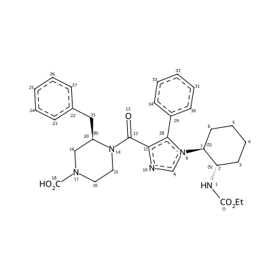 CCOC(=O)N[C@H]1CCCC[C@@H]1n1cnc(C(=O)N2CCN(C(=O)O)C[C@H]2Cc2ccccc2)c1-c1ccccc1